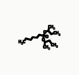 CCCCCCP(=O)(OC(C)CC)OC(C)CC